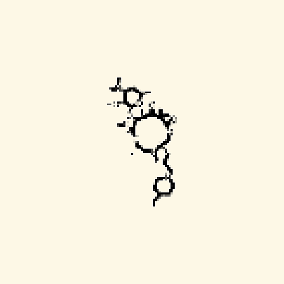 CO[C@]1(C)C[C@@H](C)CN(C)[C@H](CCCN2CCC(F)CC2)COC(=O)C(C)(C)C(=O)[C@H](C)[C@H]1O[C@@H]1O[C@H](C)C[C@H](N(C)C)[C@H]1O